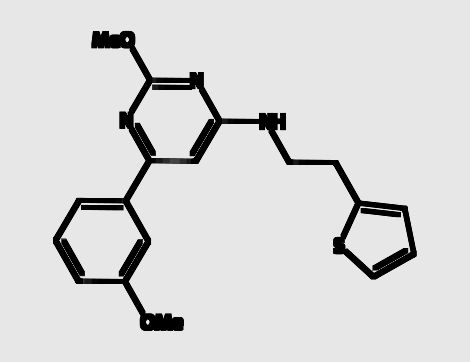 COc1cccc(-c2cc(NCCc3cccs3)nc(OC)n2)c1